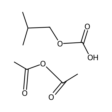 CC(=O)OC(C)=O.CC(C)COC(=O)O